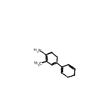 CC1=C(N)CCC(C2=CCCC=C2)=C1